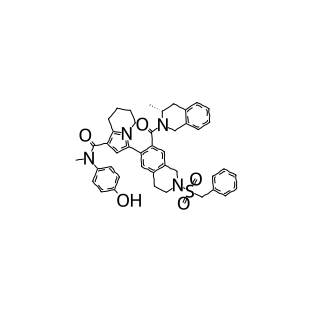 C[C@@H]1Cc2ccccc2CN1C(=O)c1cc2c(cc1-c1cc(C(=O)N(C)c3ccc(O)cc3)c3n1CCCC3)CCN(S(=O)(=O)Cc1ccccc1)C2